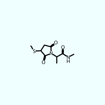 CNC(=O)C(C)N1C(=O)CC(SC)C1=O